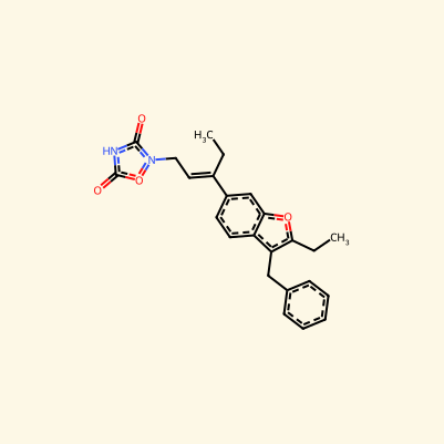 CC/C(=C\Cn1oc(=O)[nH]c1=O)c1ccc2c(Cc3ccccc3)c(CC)oc2c1